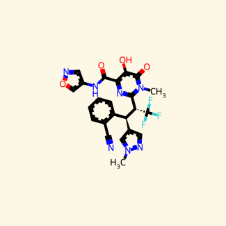 Cn1cc([C@@H](c2ccccc2C#N)[C@H](c2nc(C(=O)Nc3cnoc3)c(O)c(=O)n2C)C(F)(F)F)cn1